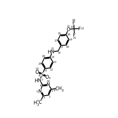 Cc1cc(C)nc(NS(=O)(=O)c2ccc(NCc3ccc(OC(F)(F)F)cc3)cc2)n1